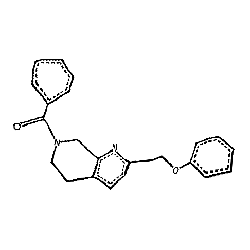 O=C(c1ccccc1)N1CCc2ccc(COc3ccccc3)nc2C1